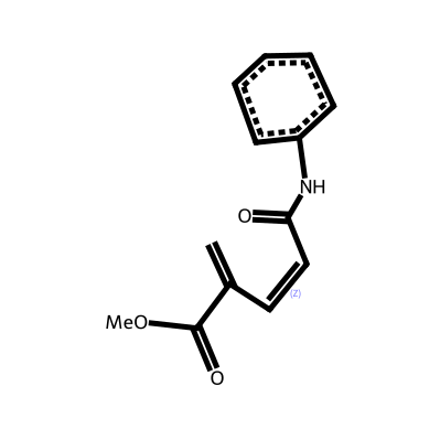 C=C(/C=C\C(=O)Nc1ccccc1)C(=O)OC